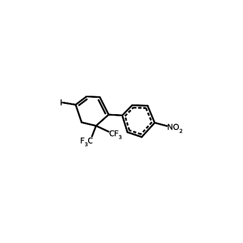 O=[N+]([O-])c1ccc(C2=CC=C(I)CC2(C(F)(F)F)C(F)(F)F)cc1